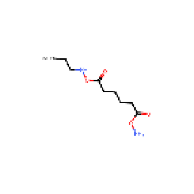 CCCCCCCCCCNOC(=O)CCCCC(=O)ON